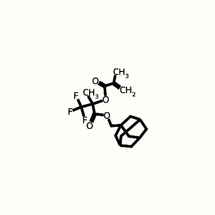 C=C(C)C(=O)OC(C)(C(=O)OCC12CC3CC(CC(C3)C1)C2)C(F)(F)F